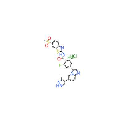 Cc1n[nH]cc1-c1ccc2ncc(-c3ccc(C(=O)Nc4nc5ccc(S(C)(=O)=O)cc5s4)c(F)c3)n2c1.Cl.Cl